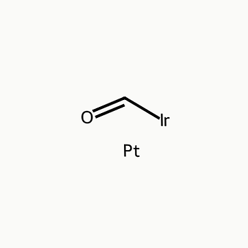 O=[CH][Ir].[Pt]